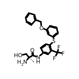 C[C@](N)(CO)C(=O)Nc1ccc(Sc2cccc(OCc3ccccc3)c2)c(C(F)(F)F)c1